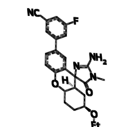 CCO[C@H]1CCC2Oc3ccc(-c4cc(F)cc(C#N)c4)cc3C3(N=C(N)N(C)C3=O)[C@H]2C1